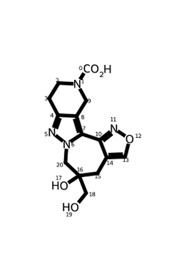 O=C(O)N1CCc2nn3c(c2C1)-c1nocc1CC(O)(CO)C3